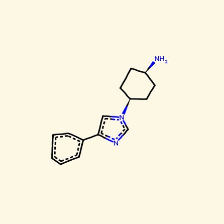 N[C@H]1CC[C@@H](n2cnc(-c3ccccc3)c2)CC1